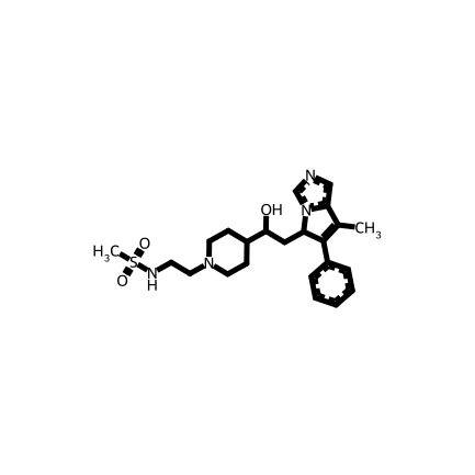 CC1=C(c2ccccc2)C(CC(O)C2CCN(CCNS(C)(=O)=O)CC2)n2cncc21